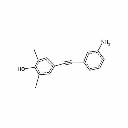 Cc1cc(C#Cc2cccc(N)c2)cc(C)c1O